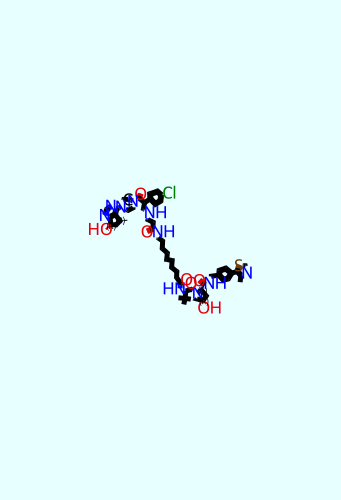 Cc1ncsc1-c1ccc(CNC(=O)[C@@H]2C[C@@H](O)CN2C(=O)C(NC(=O)CCCCCCCCCNC(=O)CCNCC(C(=O)N2CCN(c3ncnc4c3[C@H](C)C[C@H]4O)CC2)c2ccc(Cl)cc2)C(C)(C)C)cc1